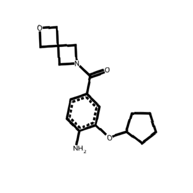 Nc1ccc(C(=O)N2CC3(COC3)C2)cc1OC1CCCC1